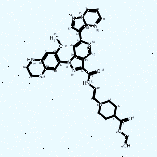 CCOC(=O)C1CCN(CCNC(=O)c2nn(-c3cc4c(cc3OC)NCCS4)c3cc(-c4cnn5cccnc45)ncc23)CC1